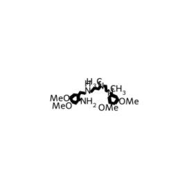 COc1ccc(N(C)CCN(C)CCCNCCc2cc(OC)c(OC)cc2N)cc1OC